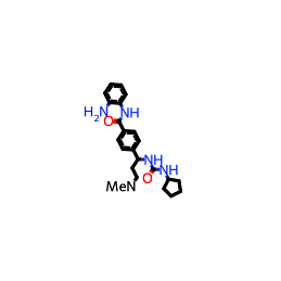 CNCCC(NC(=O)NC1CCCC1)c1ccc(C(=O)Nc2ccccc2N)cc1